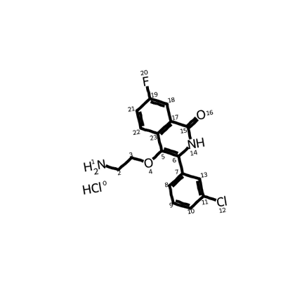 Cl.NCCOc1c(-c2cccc(Cl)c2)[nH]c(=O)c2cc(F)ccc12